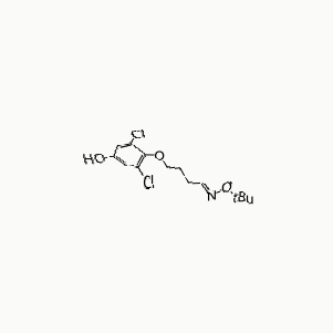 CC(C)(C)ON=CCCCOc1c(Cl)cc(O)cc1Cl